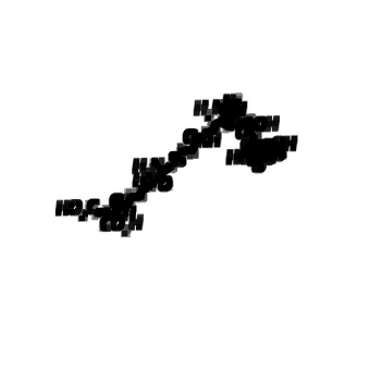 Nc1ncnc2c1c(CCCNC(=O)CCSSCC(N)C(=O)NCCCCCC(=O)NC(CCC(=O)O)C(=O)O)cn2[C@H]1CC(O)[C@@H](COP(=O)(O)OP(=O)(O)OP(=O)(O)O)O1